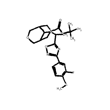 CSc1ccc(-c2noc(C(C)OC3C4COCC3CN(C(=O)OC(C)(C)C)C4)n2)cc1F